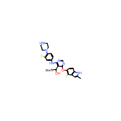 CNC(O)c1c(Nc2ccc(N3CCNCC3)c(F)c2)ncnc1Oc1ccc2[nH]c(C)cc2c1F